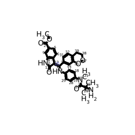 COC(=O)c1ccc2c(c1)NC(=O)/C2=C(\Nc1ccc(N(C)C(=O)C(C)(C)N)cc1)c1ccc2c(c1)OOCC2